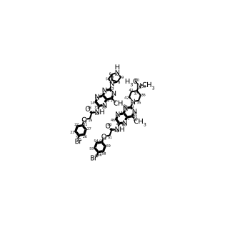 Cc1nc(N2CC3CC2CN3)nc2ncc(NC(=O)COc3ccc(Br)cc3)nc12.Cc1nc(N2CCC(N(C)C)CC2)nc2ncc(NC(=O)COc3ccc(Br)cc3)nc12